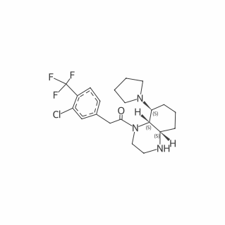 O=C(Cc1ccc(C(F)(F)F)c(Cl)c1)N1CCN[C@H]2CCC[C@H](N3CCCC3)[C@H]21